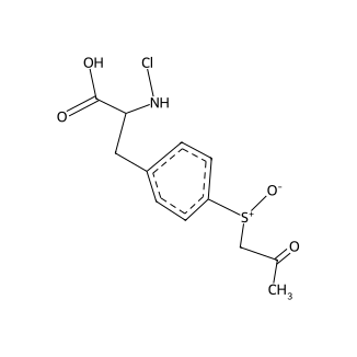 CC(=O)C[S+]([O-])c1ccc(CC(NCl)C(=O)O)cc1